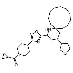 O=C(C1CC1)N1CCC(c2noc(C3CC(C4CCOC4)CC4(CCCCCCCCCC4)N3)n2)CC1